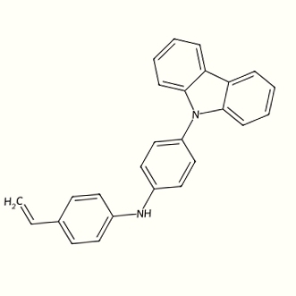 C=Cc1ccc(Nc2ccc(-n3c4ccccc4c4ccccc43)cc2)cc1